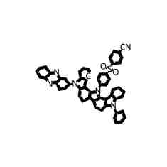 N#Cc1ccc(S(=O)(=O)c2ccc(-n3c4c(ccc5c4c4ccccc4n5-c4ccccc4)c4ccc5c(c6ccccc6n5-c5ccc6nc7ccccc7nc6c5)c43)cc2)cc1